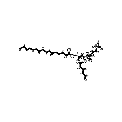 CCCCCCCCCCCCCCCC(=O)OC[C@H](COP(=O)([O-])OCC[N+](C)(C)C)OC(=O)CCCCC